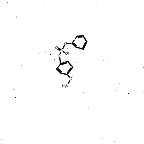 COc1ccc(OP(=O)(O)Oc2ccccc2)cc1